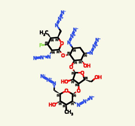 C[C@H]1[C@H](O)[C@H](CN=[N+]=[N-])O[C@H](O[C@H]2[C@@H](O)[C@H](O[C@@H]3[C@@H](O)[C@H](N=[N+]=[N-])C[C@H](N=[N+]=[N-])[C@H]3O[C@H]3O[C@H](CN=[N+]=[N-])[C@@H](C)[C@H](F)[C@H]3N=[N+]=[N-])O[C@@H]2CO)[C@@H]1N=[N+]=[N-]